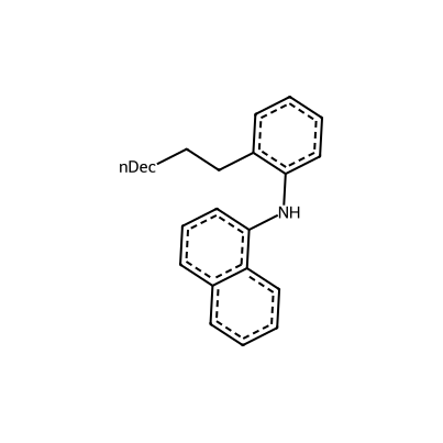 CCCCCCCCCCCCc1ccccc1Nc1cccc2ccccc12